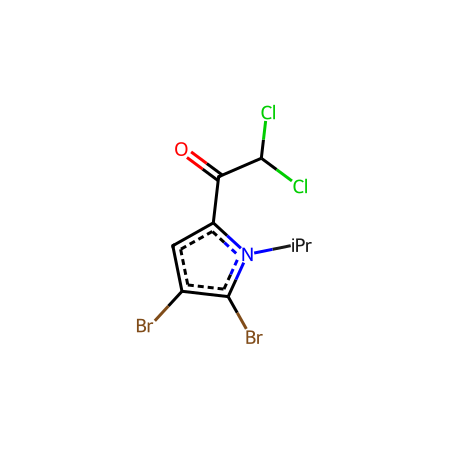 CC(C)n1c(C(=O)C(Cl)Cl)cc(Br)c1Br